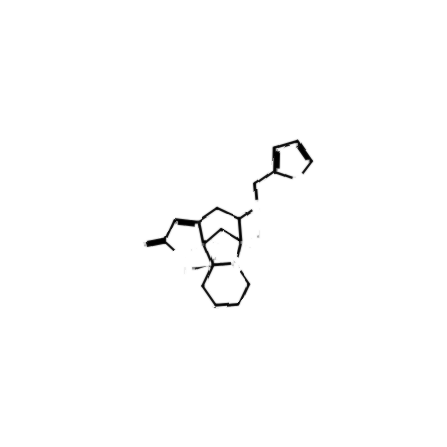 O=C1C=C2CC(SCc3cccs3)[C@@H]3C[C@@]2(O1)[C@H]1CCCCN31